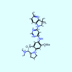 COc1cc(N2CCCC2CN(C)C)c([N+](=O)[O-])cc1Nc1cc(N2CC(C)(C)c3nc(C)ccc32)ncn1